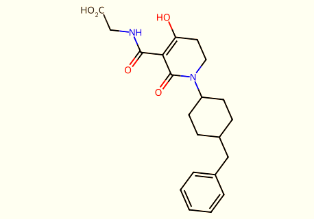 O=C(O)CNC(=O)C1=C(O)CCN(C2CCC(Cc3ccccc3)CC2)C1=O